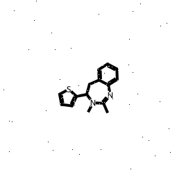 CC1=Nc2ccccc2CC(c2cccs2)N1C